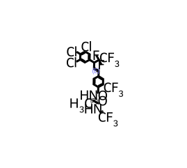 C[C@@H](NC(=O)c1ccc(/C=C/C(c2cc(Cl)c(Cl)c(Cl)c2)C(F)(F)C(F)(F)F)cc1C(F)(F)F)C(=O)NCC(F)(F)F